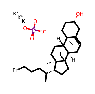 CC(C)CCCC(C)[C@H]1CC[C@H]2[C@@H]3CC=C4C[C@@H](O)CC[C@]4(C)[C@H]3CC[C@]12C.O=P([O-])([O-])[O-].[K+].[K+].[K+]